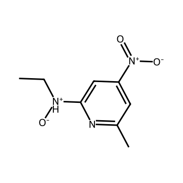 CC[NH+]([O-])c1cc([N+](=O)[O-])cc(C)n1